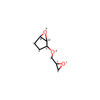 C1OC1COC1CCC2OC12